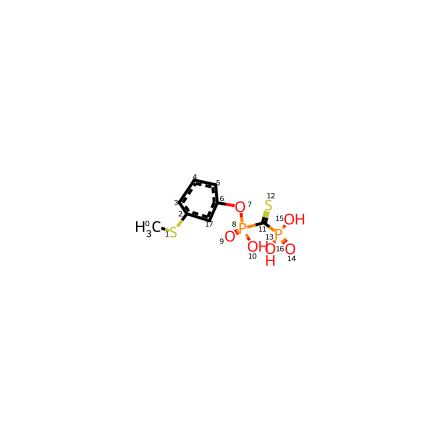 CSc1cccc(OP(=O)(O)C(=S)P(=O)(O)O)c1